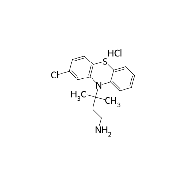 CC(C)(CCN)N1c2ccccc2Sc2ccc(Cl)cc21.Cl